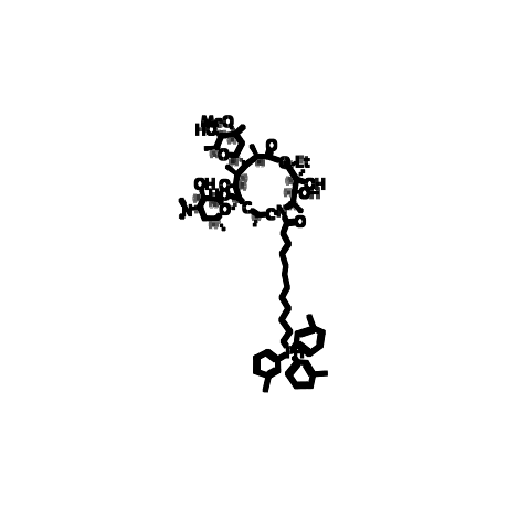 CC[C@H]1OC(=O)[C@H](C)C([C@H]2C[C@@](C)(OC)[C@@H](O)[C@H](C)O2)[C@H](C)[C@@H](O[C@@H]2O[C@H](C)C[C@H](N(C)C)[C@H]2O)[C@](C)(O)C[C@@H](C)CN(C(=O)CCCCCCCCCCC[PH](c2cccc(C)c2)(c2cccc(C)c2)c2cccc(C)c2)[C@H](C)[C@@H](O)[C@]1(C)O